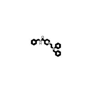 O=C(NCc1ccccc1)C1CCN(CCN(Cc2ccccc2)c2ccccc2)CC1